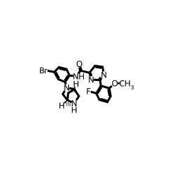 COc1cccc(F)c1-c1nccc(C(=O)Nc2ccc(Br)cc2N2C[C@@H]3C[C@H]2CN3)n1